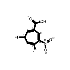 O=C(O)C1=CC(F)C=C(F)C([N+](=O)[O-])=C1